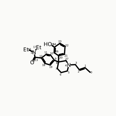 C/C=C/CN1CCCC(c2ccc(C(=O)N(CC)CC)cc2)(c2cccc(O)c2)C1